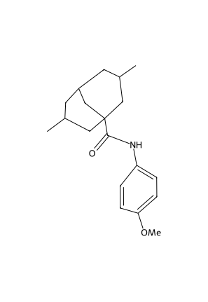 COc1ccc(NC(=O)C23CC(C)CC(CC(C)C2)C3)cc1